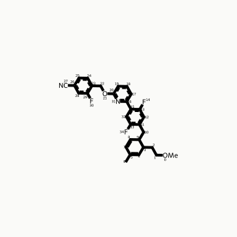 COCCC1C=C(C)C=CC1Cc1cc(F)c(-c2cccc(OCc3ccc(C#N)cc3F)n2)cc1F